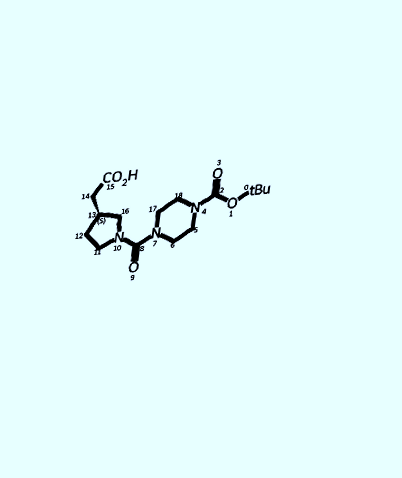 CC(C)(C)OC(=O)N1CCN(C(=O)N2CC[C@@H](CC(=O)O)C2)CC1